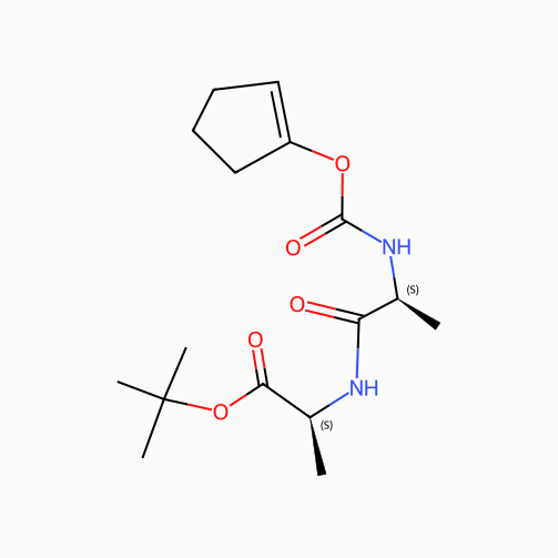 C[C@H](NC(=O)OC1=CCCC1)C(=O)N[C@@H](C)C(=O)OC(C)(C)C